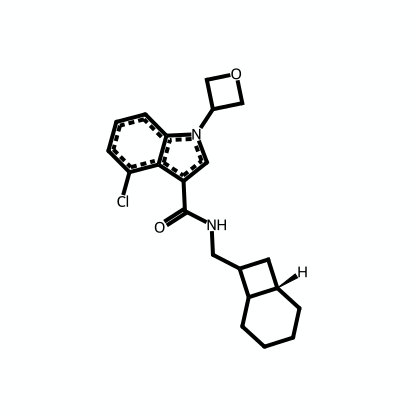 O=C(NCC1C[C@@H]2CCCCC12)c1cn(C2COC2)c2cccc(Cl)c12